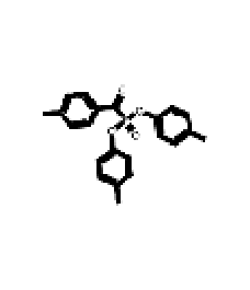 Cc1ccc(OP(=O)(Oc2ccc(C)cc2)C(=O)c2ccc(C)cc2)cc1